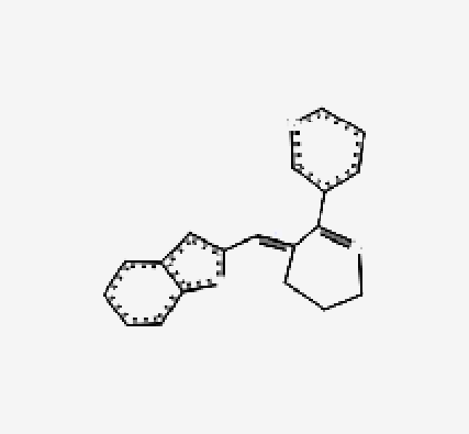 C(=C1/CCCN=C1c1cccnc1)/c1cc2ccccc2s1